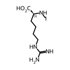 N=C(N)NCCCC[C@H](NI)C(=O)O